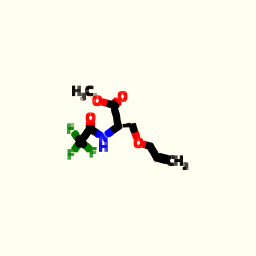 C=CCOC[C@H](NC(=O)C(F)(F)F)C(=O)OC